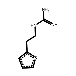 N=C(N)NCCc1cccs1